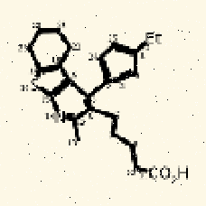 CCc1ccc(-c2c(CCCCC(=O)O)c(C)nc3sc4c(c23)CCCC4)cc1